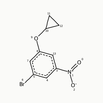 O=[N+]([O-])c1cc(Br)cc(OC2CC2)c1